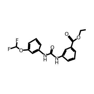 CCOC(=O)c1cccc(NC(=O)Nc2cccc(OC(F)F)c2)c1